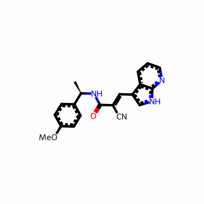 COc1ccc([C@@H](C)NC(=O)/C(C#N)=C/c2c[nH]c3ncccc23)cc1